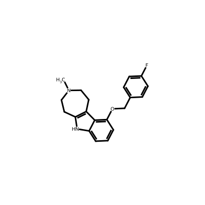 CN1CCc2[nH]c3cccc(OCc4ccc(F)cc4)c3c2CC1